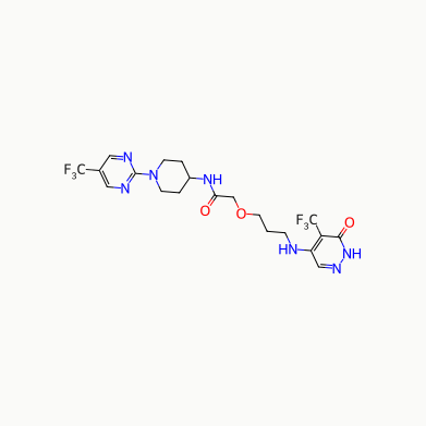 O=C(COCCCNc1cn[nH]c(=O)c1C(F)(F)F)NC1CCN(c2ncc(C(F)(F)F)cn2)CC1